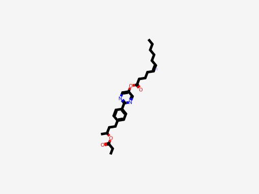 CCCCC/C=C\CCCC(=O)Oc1cnc(-c2ccc(CCC(C)OC(=O)CC)cc2)nc1